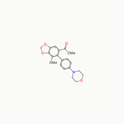 COC(=O)c1cc2c(c(OC)c1-c1ccc(N3CCOCC3)cc1)OCO2